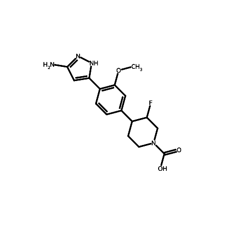 COc1cc(C2CCN(C(=O)O)CC2F)ccc1-c1cc(N)n[nH]1